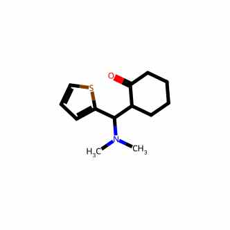 CN(C)C(c1cccs1)C1CCCCC1=O